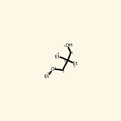 CCOCC(CC)(CC)CO